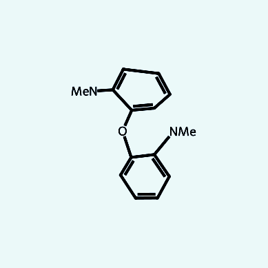 CNc1ccccc1Oc1ccccc1NC